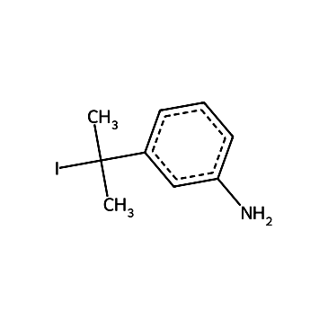 CC(C)(I)c1cccc(N)c1